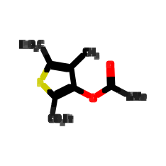 CCOC(=O)c1sc(C(=O)OCC)c(OC(=O)NC)c1C